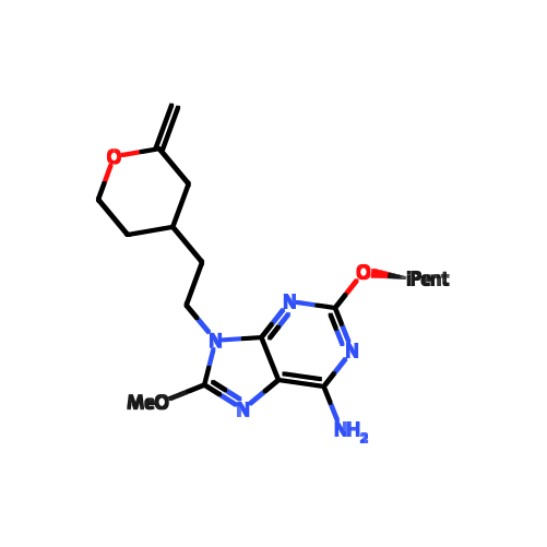 C=C1CC(CCn2c(OC)nc3c(N)nc(O[C@H](C)CCC)nc32)CCO1